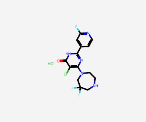 Cl.O=c1[nH]c(-c2ccnc(F)c2)nc(N2CCNCC(F)(F)C2)c1Cl